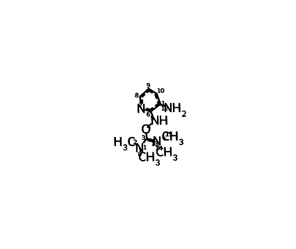 CN(C)C(ONc1ncccc1N)=[N+](C)C